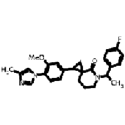 COc1cc(C2CC23CCCN(C(C)c2ccc(F)cc2)C3=O)ccc1-n1cnc(C)c1